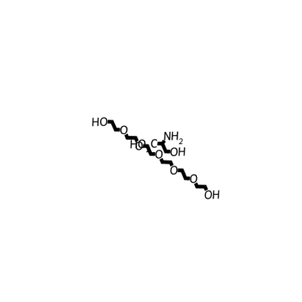 NC(CO)C(=O)O.OCCOCCOCCOCCOCCOCCO